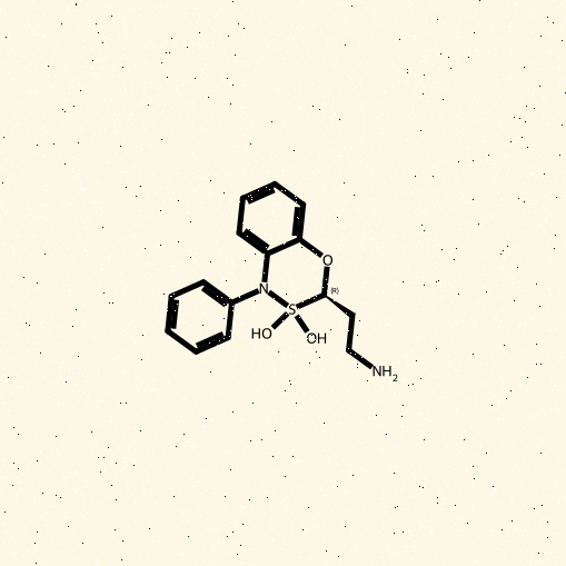 NCC[C@@H]1Oc2ccccc2N(c2ccccc2)S1(O)O